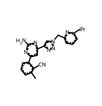 Cc1cccc(-c2cc(-c3cn(Cc4cccc(C(C)C)n4)nn3)nc(N)n2)c1C#N